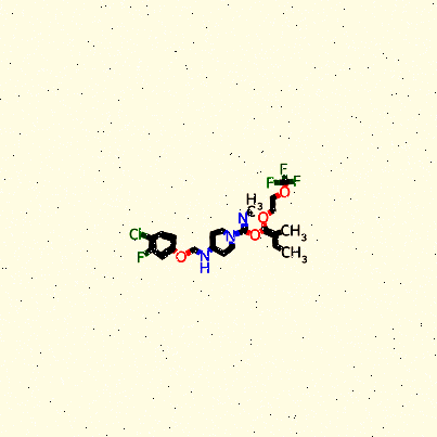 CC/C(C)=C(/OCCOC(F)(F)F)O/C(=N\C)N1CCC(NCOc2ccc(Cl)c(F)c2)CC1